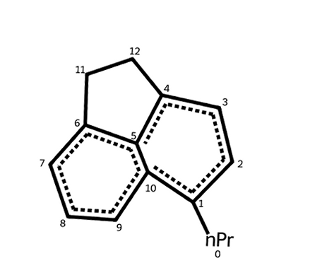 CCCc1ccc2c3c(cccc13)CC2